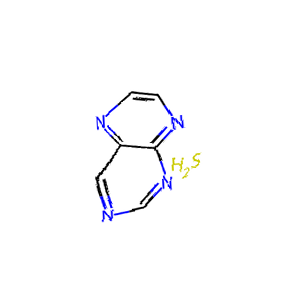 S.c1cnc2ncncc2n1